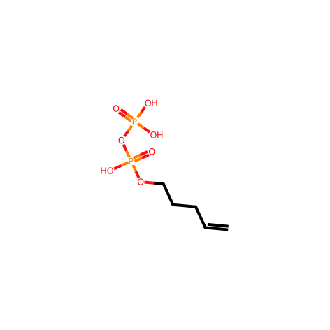 C=CCCCOP(=O)(O)OP(=O)(O)O